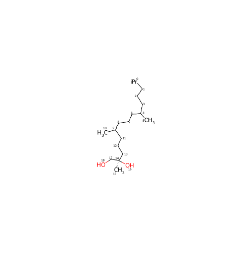 CC(C)CCCC(C)CCCC(C)CCC[C@@](C)(O)CO